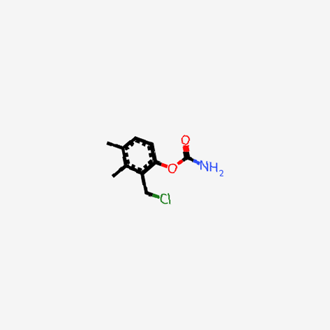 Cc1ccc(OC(N)=O)c(CCl)c1C